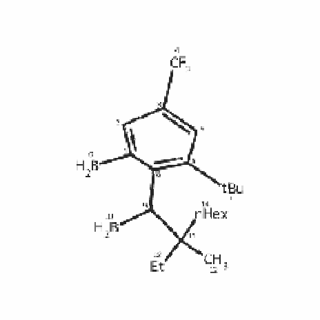 Bc1cc(C(F)(F)F)cc(C(C)(C)C)c1C(B)C(C)(CC)CCCCCC